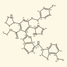 CCOC(=O)c1c(C2CCCN2)nc(CCc2ccc(F)cc2)c(-c2nnc[nH]2)c1-c1cc2ccnc(NC3CCc4c(OC)cccc43)c2s1